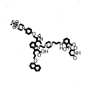 Cc1nn(C)c(COc2ccc(N3CCN(S(=O)(=O)N(C)C)CC3)cc2)c1-c1cccc2c(CCCOc3cccc4ccccc34)c(C(=O)O)n(CCN3CCN(CCCNc4cccc5c4C(=O)N(C4CCC(=O)NC4=O)C5=O)CC3)c12